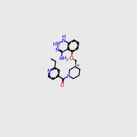 CCc1cc(C(=O)N2CCC[C@H](COc3cccc4c3C(N)=NNN4)C2)ccn1